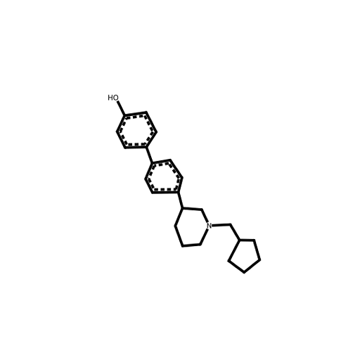 Oc1ccc(-c2ccc(C3CCCN(CC4CCCC4)C3)cc2)cc1